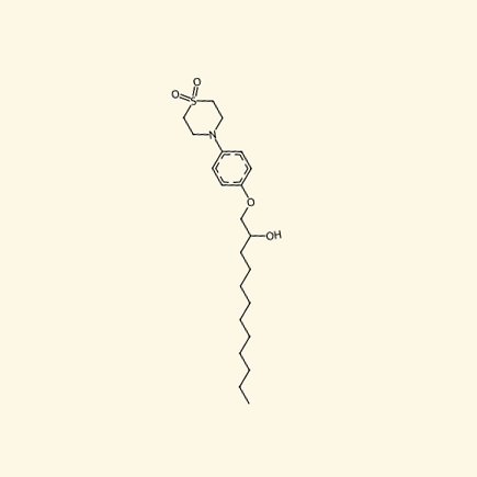 CCCCCCCCCCC(O)COc1ccc(N2CCS(=O)(=O)CC2)cc1